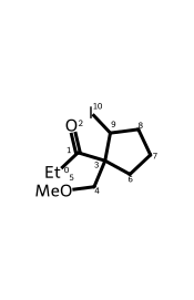 CCC(=O)C1(COC)CCCC1I